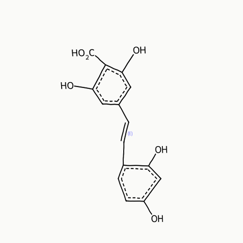 O=C(O)c1c(O)cc(/C=C/c2ccc(O)cc2O)cc1O